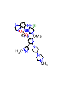 COc1nc(N2CCC(N3CCN(C)CC3)CC2)c(-c2cnn(C)c2)cc1Nc1ncc(Br)c(Nc2ccc3nccnc3c2NS(C)(=O)=O)n1